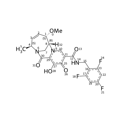 CO[C@H]1C=C[C@H](C)N2C[C@H]1n1cc(C(=O)NCc3c(F)cc(F)cc3F)c(=O)c(O)c1C2=O